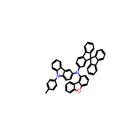 Cc1ccc(-n2c3ccccc3c3cc(N(c4ccc5c(c4)C4(c6ccccc6-c6ccccc64)c4ccccc4-5)c4cccc5oc6ccccc6c45)ccc32)cc1